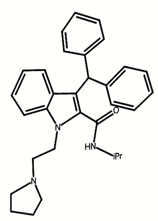 CC(C)NC(=O)c1c(C(c2ccccc2)c2ccccc2)c2ccccc2n1CCN1CCCC1